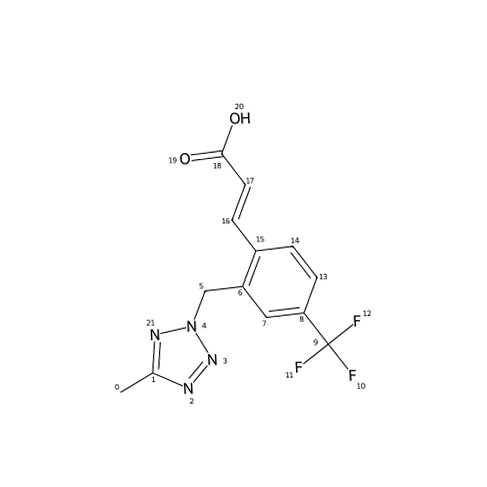 Cc1nnn(Cc2cc(C(F)(F)F)ccc2C=CC(=O)O)n1